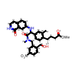 COC(=O)CC[C@H](C)c1ccc(C(Nc2ccc3cc[nH]c(=O)c3c2)C(=O)N(C)Cc2cc([N+](=O)[O-])ccc2CO)cc1C